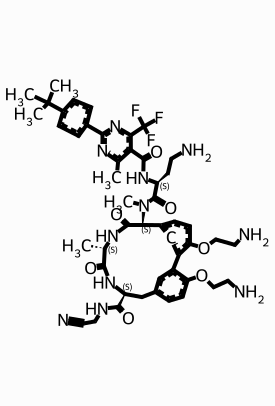 Cc1nc(-c2ccc(C(C)(C)C)cc2)nc(C(F)(F)F)c1C(=O)N[C@@H](CCN)C(=O)N(C)[C@@H]1C(=O)N[C@@H](C)C(=O)N[C@H](C(=O)NCC#N)Cc2ccc(OCCN)c(c2)-c2cc1ccc2OCCN